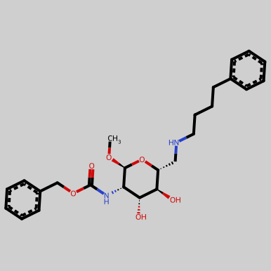 CO[C@H]1O[C@H](CNCCCCc2ccccc2)[C@@H](O)[C@H](O)[C@@H]1NC(=O)OCc1ccccc1